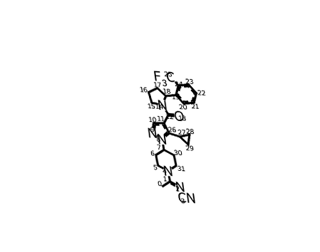 CC(=NC#N)N1CCC(n2ncc(C(=O)N3CCCC3c3ccccc3C(F)(F)F)c2C2CC2)CC1